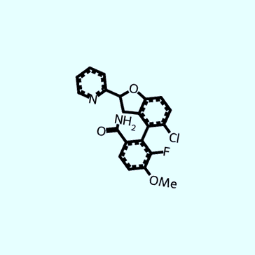 COc1ccc(C(N)=O)c(-c2c(Cl)ccc3c2CC(c2ccccn2)O3)c1F